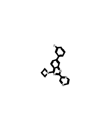 Fc1cccc(-c2ccc3c(N4CCC4)nc(-c4cnccn4)nc3c2)c1